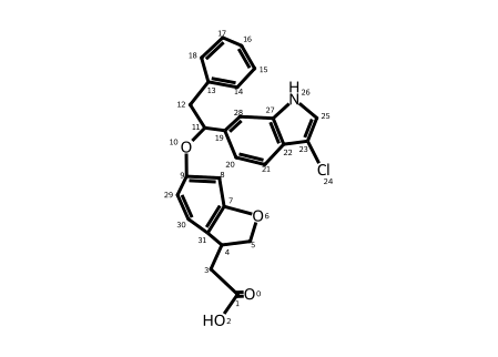 O=C(O)CC1COc2cc(OC(Cc3ccccc3)c3ccc4c(Cl)c[nH]c4c3)ccc21